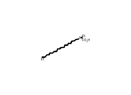 CCC=CCC=CCC=CCC=CCC=CCC=CCCCSC(CC)C(=O)O